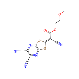 COCCOC(=O)C(C#N)=C1Sc2nc(C#N)c(C#N)nc2S1